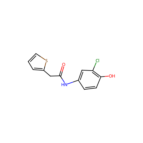 O=C(Cc1cccs1)Nc1ccc(O)c(Cl)c1